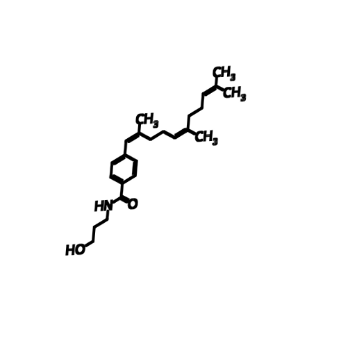 CC(C)=CCCC(C)=CCCC(C)=Cc1ccc(C(=O)NCCCO)cc1